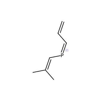 C=C/C=P\C=C(C)C